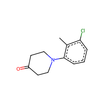 Cc1c(Cl)cccc1N1CCC(=O)CC1